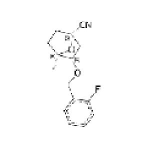 C[C@@]12CC[C@@](C#N)(C[C@@H]1OCc1ccccc1F)O2